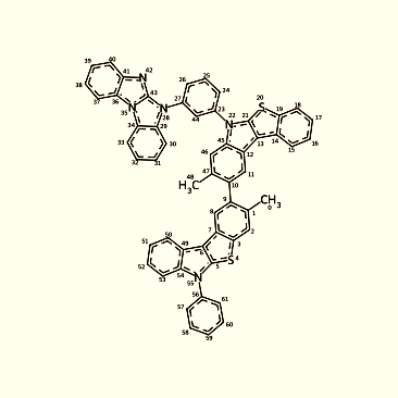 Cc1cc2sc3c(c2cc1-c1cc2c4c5ccccc5sc4n(-c4cccc(-n5c6ccccc6n6c7ccccc7nc56)c4)c2cc1C)c1ccccc1n3-c1ccccc1